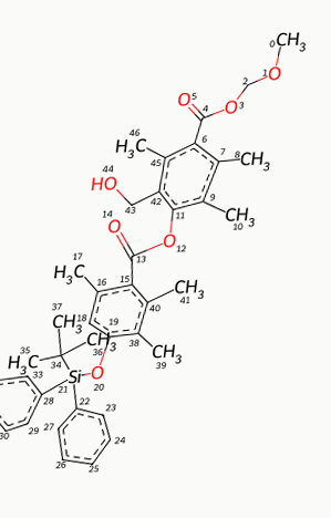 COCOC(=O)c1c(C)c(C)c(OC(=O)c2c(C)cc(O[Si](c3ccccc3)(c3ccccc3)C(C)(C)C)c(C)c2C)c(CO)c1C